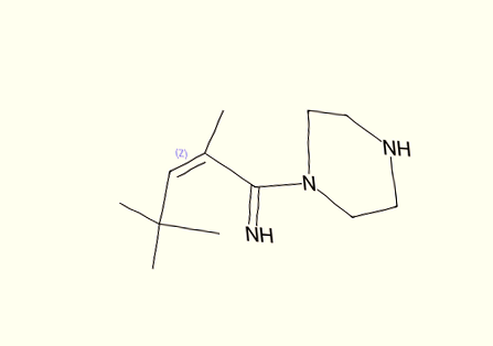 C/C(=C/C(C)(C)C)C(=N)N1CCNCC1